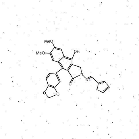 COc1cc2c(O)c3c(c(-c4ccc5c(c4)OCO5)c2cc1OC)C(=O)N(/N=C/c1cccs1)C3